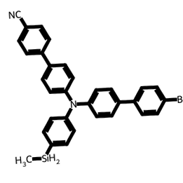 C[SiH2]c1ccc(N(c2ccc(-c3ccc(Br)cc3)cc2)c2ccc(-c3ccc(C#N)cc3)cc2)cc1